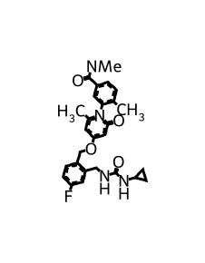 CNC(=O)c1ccc(C)c(-n2c(C)cc(OCc3ccc(F)cc3CNC(=O)NC3CC3)cc2=O)c1